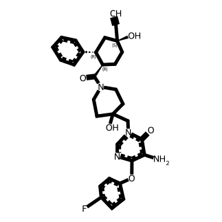 C#C[C@]1(O)CC[C@@H](C(=O)N2CCC(O)(Cn3cnc(Oc4ccc(F)cc4)c(N)c3=O)CC2)[C@H](c2ccccc2)C1